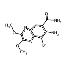 COc1nc2cc(C(N)=O)c(N)c(Br)c2nc1OC